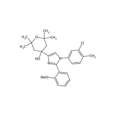 COc1ccccc1-c1nc(C2(O)CC(C)(C)OC(C)(C)C2)cn1-c1ccc(C)c(Cl)c1